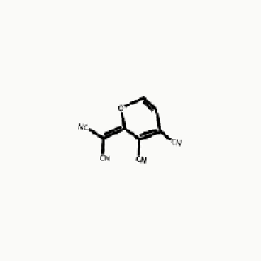 N#CC(C#N)=C1OC=CC(C#N)=C1C#N